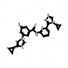 O=C(Nc1cccc(-c2nncn2C2CC2)n1)c1cc(F)cc(-n2cnc(C3CC3)c2)c1